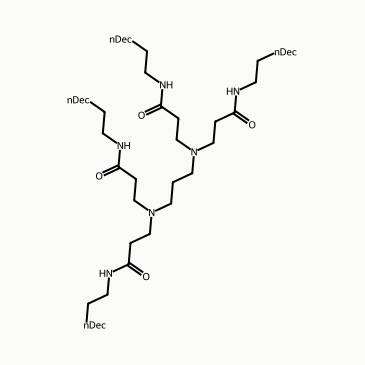 CCCCCCCCCCCCNC(=O)CCN(CCCN(CCC(=O)NCCCCCCCCCCCC)CCC(=O)NCCCCCCCCCCCC)CCC(=O)NCCCCCCCCCCCC